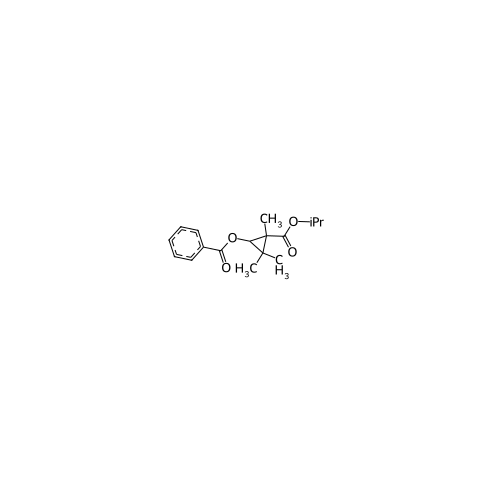 CC(C)OC(=O)C1(C)C(OC(=O)c2ccccc2)C1(C)C